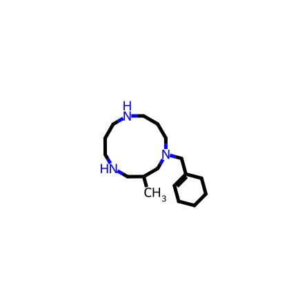 CC1CNCCCNCCCN(CC2=CCCCC2)C1